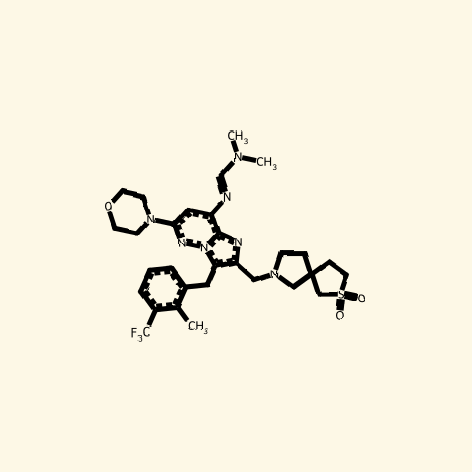 Cc1c(Cc2c(CN3CCC4(CCS(=O)(=O)C4)C3)nc3c(/N=C/N(C)C)cc(N4CCOCC4)nn23)cccc1C(F)(F)F